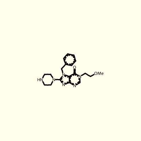 COCCn1cnc2nc(N3CCNCC3)n(Cc3ccccc3)c2c1=O